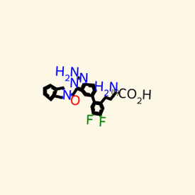 Nc1nc(C(=O)N2Cc3ccccc3C2)c2cc(-c3cc(F)c(F)cc3CC[C@H](N)C(=O)O)ccc2n1